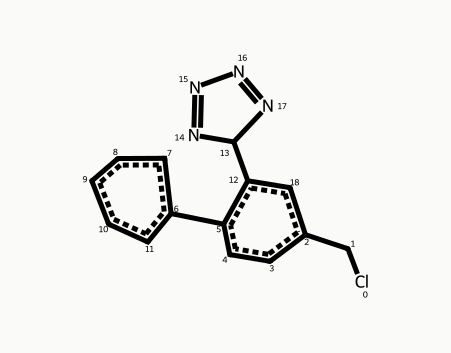 ClCc1ccc(-c2ccccc2)c(C2N=NN=N2)c1